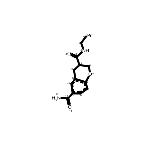 CC(C)CNC(=O)C1COc2ccc(C(N)=O)cc2C1